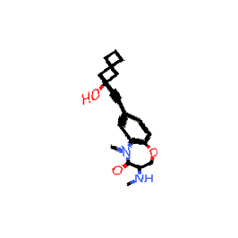 CNC1COc2ccc(C#CC3(O)CC4(CCC4)C3)cc2N(C)C1=O